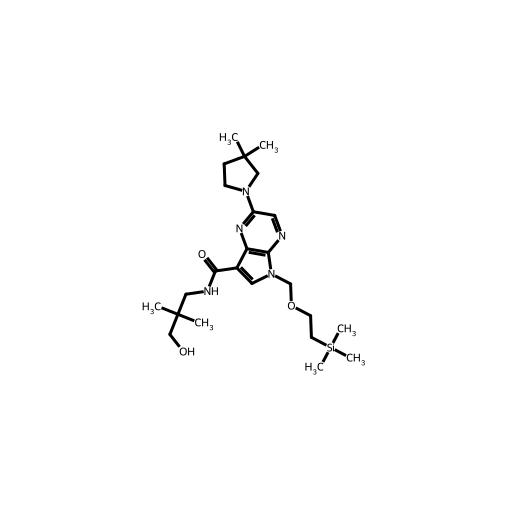 CC(C)(CO)CNC(=O)c1cn(COCC[Si](C)(C)C)c2ncc(N3CCC(C)(C)C3)nc12